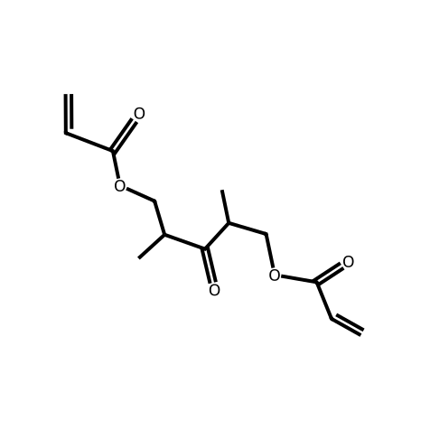 C=CC(=O)OCC(C)C(=O)C(C)COC(=O)C=C